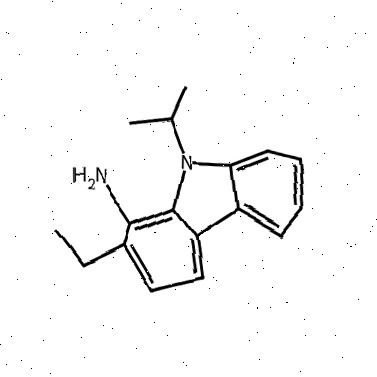 CCc1ccc2c3ccccc3n(C(C)C)c2c1N